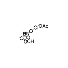 CC(=O)OCc1ccc(-c2ccc(Nc3ccc(O)c4c3C(=O)c3ccccc3C4=O)cc2)cc1